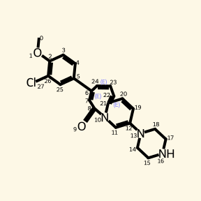 COc1ccc(C2=C\C(=O)N3C=C(N4CCNCC4)C=C\C3=C/C=C/2)cc1Cl